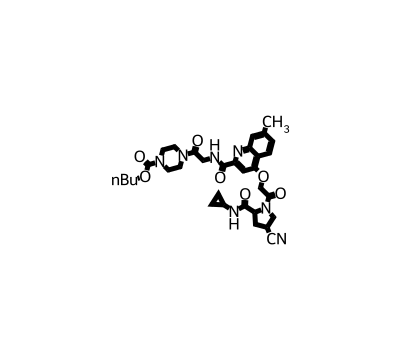 CCCCOC(=O)N1CCN(C(=O)CNC(=O)c2cc(OCC(=O)N3CC(C#N)CC3C(=O)NC3CC3)c3ccc(C)cc3n2)CC1